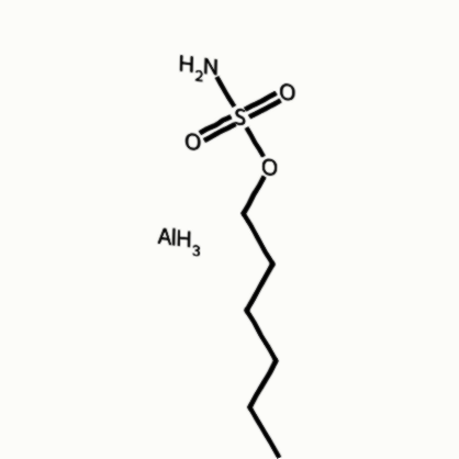 CCCCCCOS(N)(=O)=O.[AlH3]